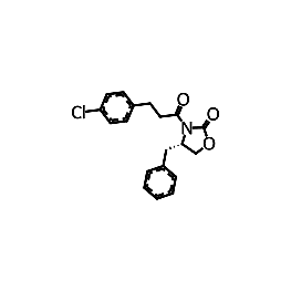 O=C(CCc1ccc(Cl)cc1)N1C(=O)OC[C@@H]1Cc1ccccc1